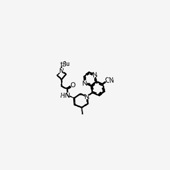 C[C@H]1C[C@@H](NC(=O)CC2CN(C(C)(C)C)C2)CN(c2ccc(C#N)c3nccnc23)C1